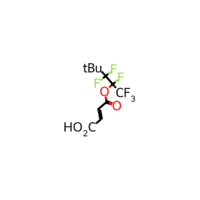 CC(C)(C)C(F)(F)C(F)(OC(=O)C=CC(=O)O)C(F)(F)F